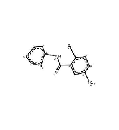 O=C(Nc1ccccn1)c1cc([N+](=O)[O-])ccc1Cl